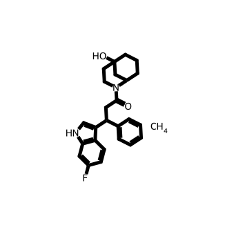 C.O=C(CC(c1ccccc1)c1c[nH]c2cc(F)ccc12)N1CCC2(O)CCCC1C2